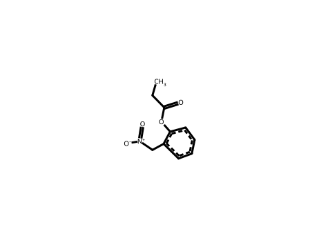 CCC(=O)Oc1ccccc1C[N+](=O)[O-]